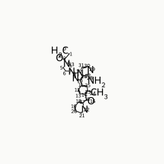 C=CC(=O)N1CCN(c2nc(-c3ccc(C(=O)c4ccccn4)c(C)c3)c3c(N)nccn23)C1